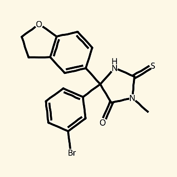 CN1C(=O)C(c2cccc(Br)c2)(c2ccc3c(c2)CCO3)NC1=S